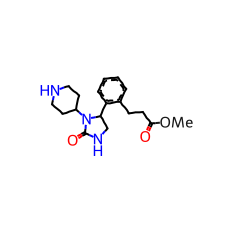 COC(=O)CCc1ccccc1C1CNC(=O)N1C1CCNCC1